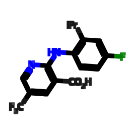 CC(C)c1cc(F)ccc1Nc1ncc(C(F)(F)F)cc1C(=O)O